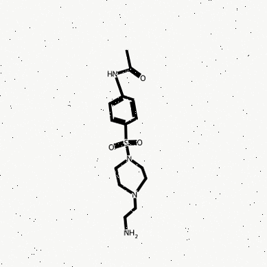 CC(=O)Nc1ccc(S(=O)(=O)N2CCN(CCN)CC2)cc1